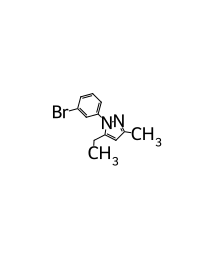 CCc1cc(C)nn1-c1cccc(Br)c1